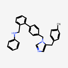 N#Cc1ccc(Cc2cncn2Cc2ccc(-c3ccccc3CNc3ccccc3)cc2)cc1